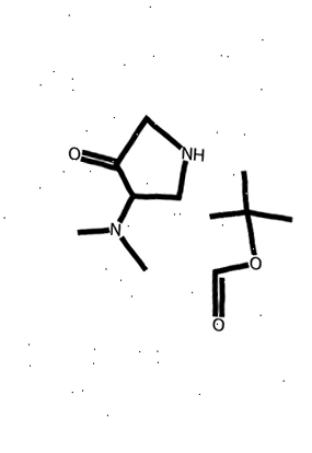 CC(C)(C)OC=O.CN(C)C1CNCC1=O